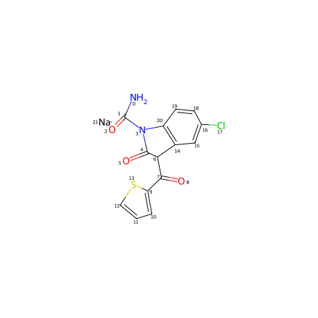 NC(=O)N1C(=O)C(C(=O)c2cccs2)c2cc(Cl)ccc21.[Na]